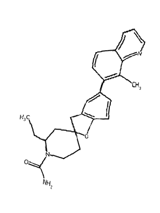 CCC1CC2(CCN1C(N)=O)Cc1cc(-c3ccc4cccnc4c3C)ccc1O2